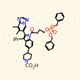 Cc1c(-c2c(C(C)C)c3cc(C4CCN(C(=O)O)CC4)ccc3n2C(=O)CCCOP(=O)(OCc2ccccc2)OCc2ccccc2)cn2ncnc2c1C